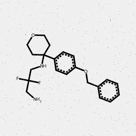 NCC(F)(F)CNC1(c2ccc(OCc3ccccc3)cc2)CCOCC1